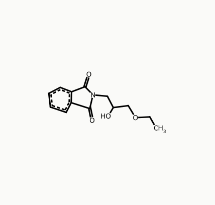 CCOCC(O)CN1C(=O)c2ccccc2C1=O